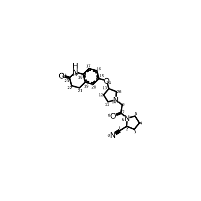 N#CC1CCCN1C(=O)CN1CCC(Oc2ccc3c(c2)CCC(=O)N3)C1